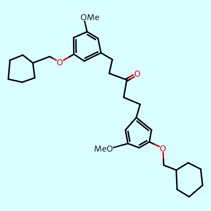 COc1cc(CCC(=O)CCc2cc(OC)cc(OCC3CCCCC3)c2)cc(OCC2CCCCC2)c1